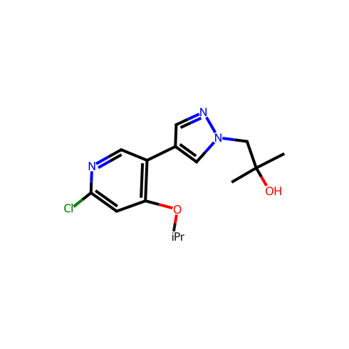 CC(C)Oc1cc(Cl)ncc1-c1cnn(CC(C)(C)O)c1